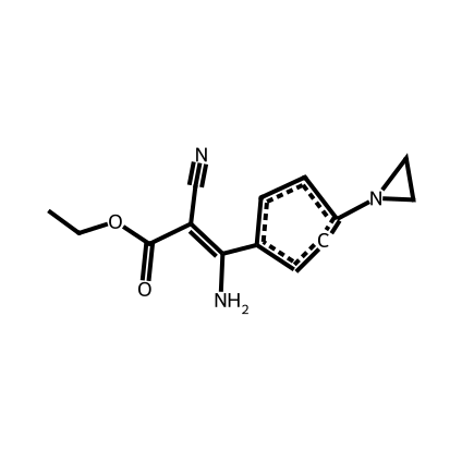 CCOC(=O)/C(C#N)=C(\N)c1ccc(N2CC2)cc1